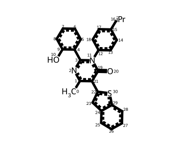 Cc1nc(-c2ccccc2O)n(-c2ccc(C(C)C)cc2)c(=O)c1-c1cc2ccccc2s1